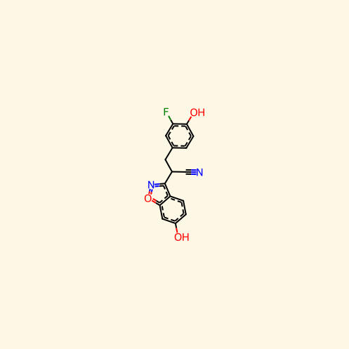 N#CC(Cc1ccc(O)c(F)c1)c1noc2cc(O)ccc12